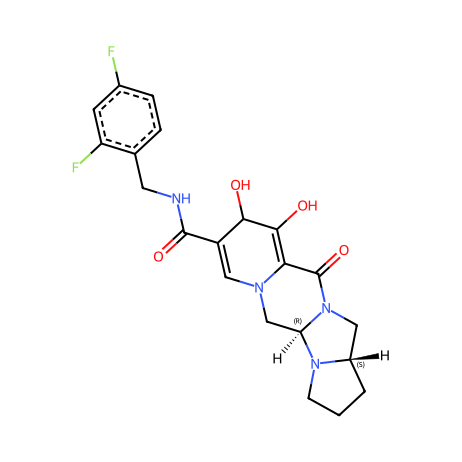 O=C(NCc1ccc(F)cc1F)C1=CN2C[C@H]3N(C[C@@H]4CCCN43)C(=O)C2=C(O)C1O